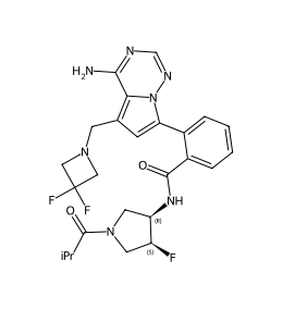 CC(C)C(=O)N1C[C@H](F)[C@H](NC(=O)c2ccccc2-c2cc(CN3CC(F)(F)C3)c3c(N)ncnn23)C1